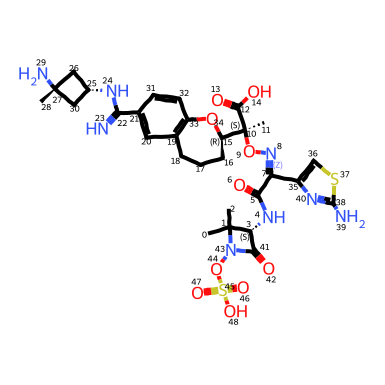 CC1(C)[C@H](NC(=O)/C(=N\O[C@](C)(C(=O)O)[C@H]2CCCc3cc(C(=N)N[C@H]4C[C@@](C)(N)C4)ccc3O2)c2csc(N)n2)C(=O)N1OS(=O)(=O)O